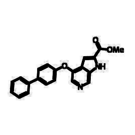 COC(=O)c1cc2c(Oc3ccc(-c4ccccc4)cc3)cncc2[nH]1